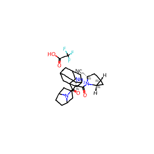 N#C[C@@H]1C[C@@H]2C[C@@H]2N1C(=O)[C@@H](N)C1CC2CCC(C1)N2C(=O)C12CC3CC(CC(C3)C1)C2.O=C(O)C(F)(F)F